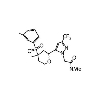 CNC(=O)Cn1nc(C(F)(F)F)cc1C1CC(C)(S(=O)(=O)c2cccc(C)c2)CCO1